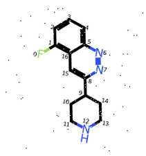 Fc1cccc2nnc(C3CCNCC3)cc12